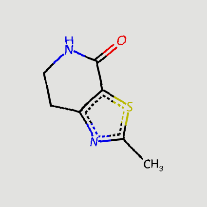 Cc1nc2c(s1)C(=O)NCC2